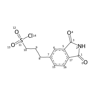 O=C1NC(=O)c2cc(CCCS(=O)(=O)Cl)ccc21